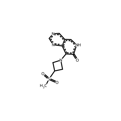 CS(=O)(=O)C1CN(c2c(=O)[nH]cc3cncnc23)C1